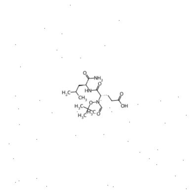 CC(C)C[C@H](NC(=O)[C@H](CCC(=O)O)N(C=O)OC(C)(C)C)C(N)=O